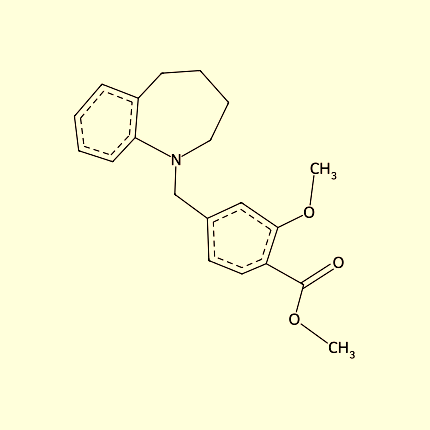 COC(=O)c1ccc(CN2CCCCc3ccccc32)cc1OC